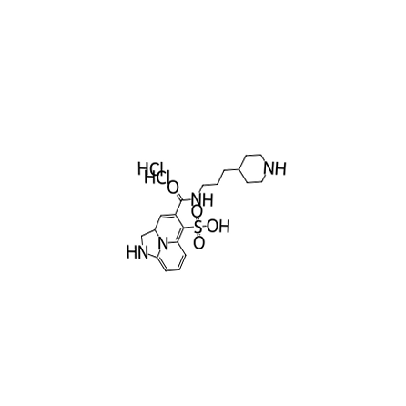 Cl.Cl.O=C(NCCCC1CCNCC1)C1=CC2CNC3=CC=CC(=C1S(=O)(=O)O)N32